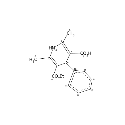 CCOC(=O)C1=C(C)NC(C)=C(C(=O)O)C1c1ccccc1